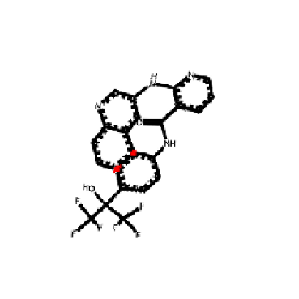 O=C(Nc1ccc(C(O)(C(F)(F)F)C(F)(F)F)cc1)c1cccnc1Nc1cnc2ccncc2c1